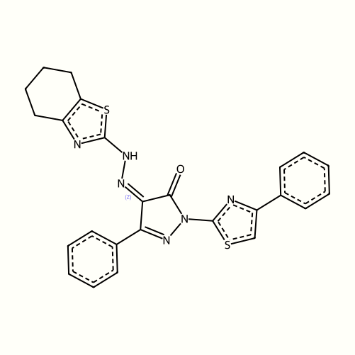 O=C1/C(=N\Nc2nc3c(s2)CCCC3)C(c2ccccc2)=NN1c1nc(-c2ccccc2)cs1